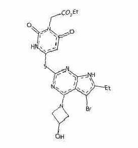 CCOC(=O)Cn1c(=O)cc(Sc2nc(N3CC(O)C3)c3c(Br)c(CC)[nH]c3n2)[nH]c1=O